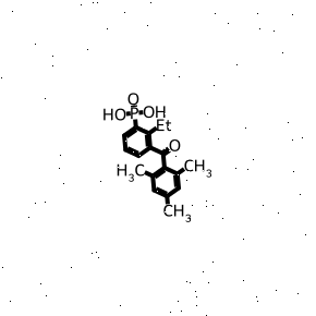 CCc1c(C(=O)c2c(C)cc(C)cc2C)cccc1P(=O)(O)O